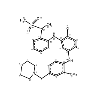 COc1cc(CN2CCOCC2)ccc1Nc1ncc(Cl)c(Nc2ccccc2N(C)S(C)(=O)=O)n1